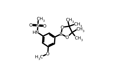 COc1cc(NS(C)(=O)=O)cc(B2OC(C)(C)C(C)(C)O2)c1